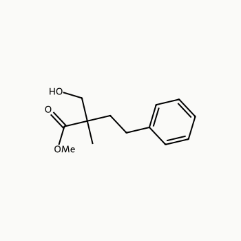 COC(=O)C(C)(CO)CCc1ccccc1